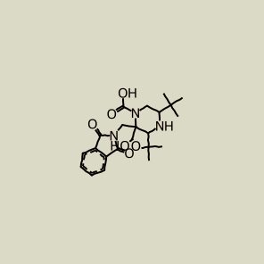 CC(C)(C)C1CN(C(=O)O)C(CN2C(=O)c3ccccc3C2=O)(C(=O)O)C(C(C)(C)C)N1